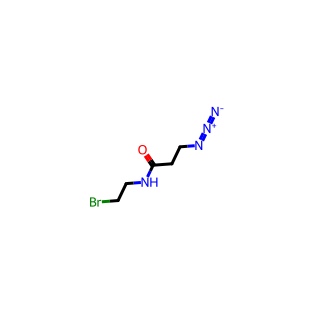 [N-]=[N+]=NCCC(=O)NCCBr